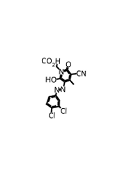 Cc1c(/N=N/c2ccc(Cl)c(Cl)c2)c(O)n(CC(=O)O)c(=O)c1C#N